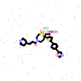 Cl.O=C(CC1(c2ccc(-c3ccc(-c4cnco4)cc3)s2)CCN(C(=O)/C=C/c2ccncc2)CCS1(=O)=O)NO